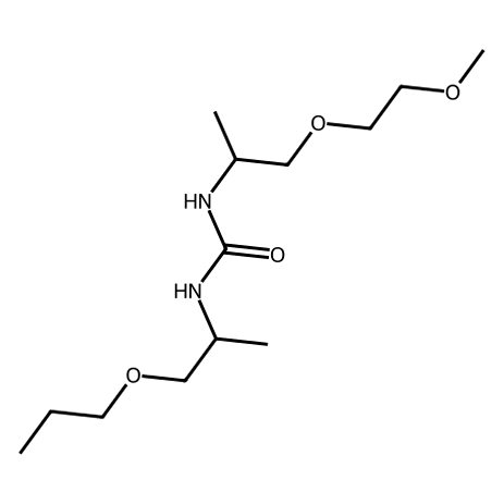 CCCOCC(C)NC(=O)NC(C)COCCOC